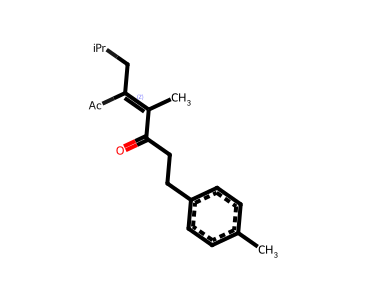 CC(=O)/C(CC(C)C)=C(/C)C(=O)CCc1ccc(C)cc1